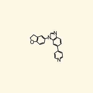 c1cc(-c2ccc3ncn(-c4ccc5c(c4)CCO5)c3c2)ccn1